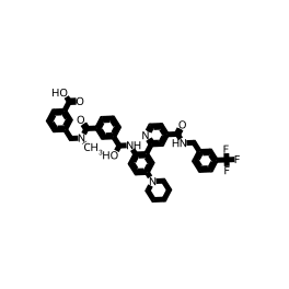 CN(Cc1cccc(C(=O)O)c1)C(=O)c1cccc(C(O)Nc2ccc(N3CCCCC3)cc2-c2cc(C(=O)NCc3cccc(C(F)(F)F)c3)ccn2)c1